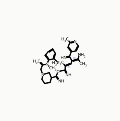 C=C(CN1CCCC(C(=N)OC(=N)/C(C)=C/C(C(=N)c2ccnc(C)c2)=C(\C)N)C1)N(C)c1ccccc1C